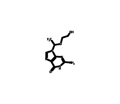 Nc1nc2c(ncn2C(OCCO)C(F)(F)F)c(=O)[nH]1